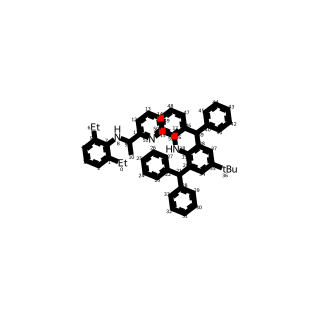 CCc1cccc(CC)c1NC(C)c1cccc(C(C)Nc2c(C(c3ccccc3)c3ccccc3)cc(C(C)(C)C)cc2C(c2ccccc2)c2ccccc2)n1